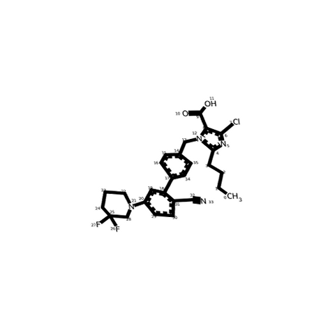 CCCCc1nc(Cl)c(C(=O)O)n1Cc1ccc(-c2cc(N3CCCC(F)(F)C3)ccc2C#N)cc1